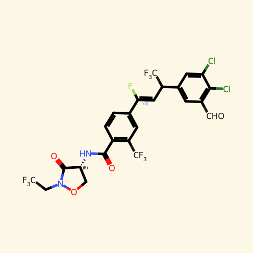 O=Cc1cc(C(/C=C(\F)c2ccc(C(=O)N[C@@H]3CON(CC(F)(F)F)C3=O)c(C(F)(F)F)c2)C(F)(F)F)cc(Cl)c1Cl